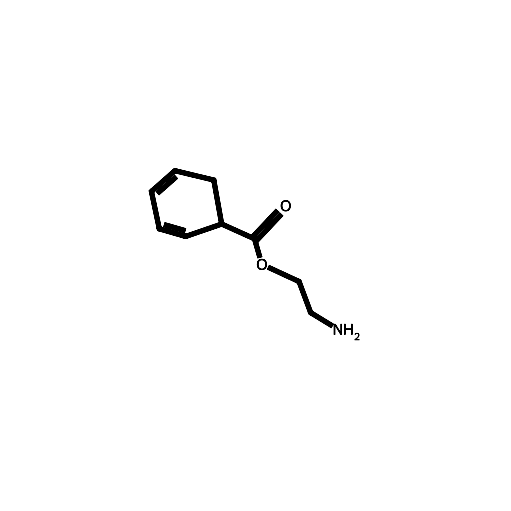 NCCOC(=O)C1C=CC=CC1